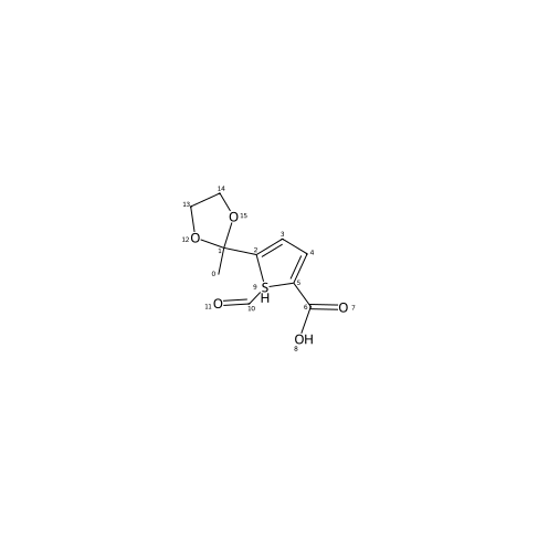 CC1(C2=CC=C(C(=O)O)[SH]2C=O)OCCO1